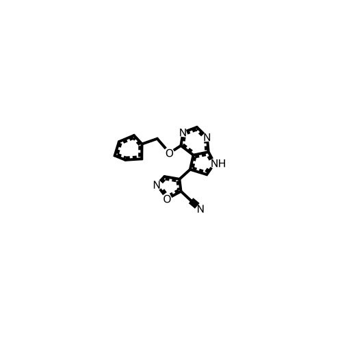 N#Cc1oncc1-c1c[nH]c2ncnc(OCc3ccccc3)c12